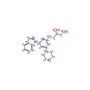 OCC(O)COc1nc(N2CCOCC2)cc(-n2ncc3ccccc32)n1